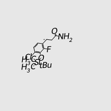 CC(C)(C)[Si](C)(C)Oc1c(Cl)ccc([CH]CC(N)=O)c1F